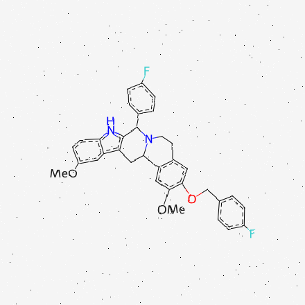 COc1ccc2[nH]c3c(c2c1)CC1c2cc(OC)c(OCc4ccc(F)cc4)cc2CCN1C3c1ccc(F)cc1